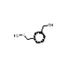 OCc1cccc(COO)c1